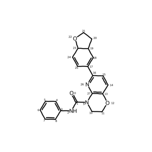 O=C(Nc1ccccc1)N1CCOc2ccc(C3=CC4CCOC4C=C3)nc21